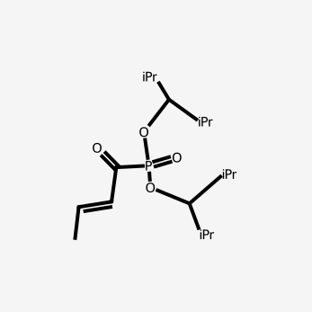 CC=CC(=O)P(=O)(OC(C(C)C)C(C)C)OC(C(C)C)C(C)C